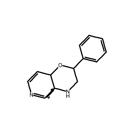 C1=CC2=NC=CC3OC(c4ccccc4)CNC23C=C1